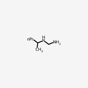 CCCC(C)NCN